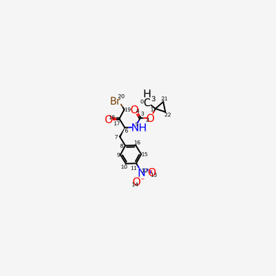 CC1(OC(=O)N[C@@H](Cc2ccc([N+](=O)[O-])cc2)C(=O)CBr)CC1